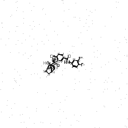 O=C(Nc1ccc(F)c(F)c1)c1ccc(Cl)c(S(=O)(=O)[C@H]2CC3CCC(C2)[C@]3(O)[C@@H](O)CO)c1